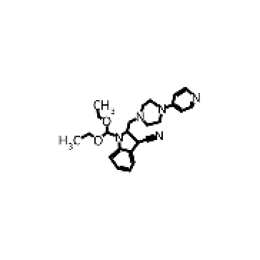 CCOC(OCC)N1c2ccccc2C(C#N)C1CN1CCN(c2ccncc2)CC1